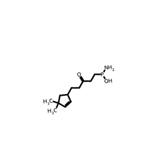 CC1(C)C=CC(CCC(=O)CCP(N)O)C1